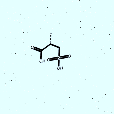 C[C@H](CS(=O)(=O)O)C(=O)O